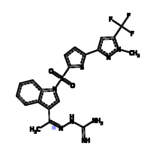 C/C(=N/NC(=N)N)c1cn(S(=O)(=O)c2ccc(-c3cc(C(F)(F)F)n(C)n3)s2)c2ccccc12